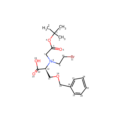 CC(C)(C)OC(=O)CN(CCBr)[C@@H](COCc1ccccc1)C(=O)O